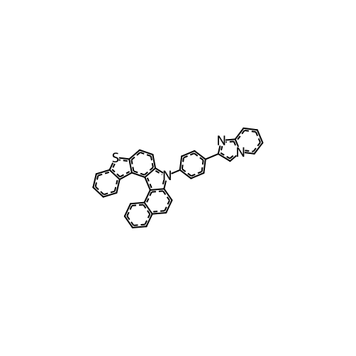 c1ccc2c(c1)ccc1c2c2c3c(ccc2n1-c1ccc(-c2cn4ccccc4n2)cc1)sc1ccccc13